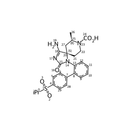 CC(C)S(=O)(=O)c1ccc(-c2ccccc2N2C(=O)N=C(N)[C@@]23CCN(C(=O)O)[C@H](C)C3)cc1